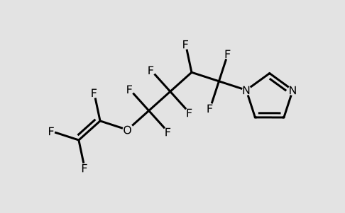 FC(F)=C(F)OC(F)(F)C(F)(F)C(F)C(F)(F)n1ccnc1